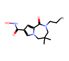 CC(C)CCN1CC(C)(C)Cn2cc(C(=O)NO)cc2C1=O